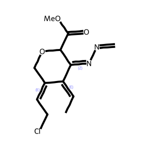 C=N/N=C1C(=C/C)/C(=C\CCl)COC/1C(=O)OC